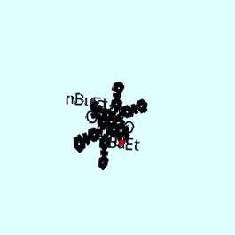 CCCCC(CC)CN1C(=O)c2cc(Oc3ccc(C(C)(C)c4ccccc4)cc3)c3c4c(Oc5ccc(C(C)(C)c6ccccc6)cc5)cc5c6c(cc(Oc7ccc(C(C)(C)c8ccccc8)cc7)c(c7c(Oc8ccc(C(C)(C)c9ccccc9)cc8)cc(c2c37)C1=O)c64)C(=O)N(CC(CC)CCCC)C5=O